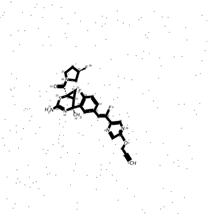 C#CCOc1cnc(/C(F)=C/c2ccc(F)c([C@@]3(C)N=C(N)S[C@@]4(C(=O)N5CC[C@@H](F)C5)CC43)c2)cn1